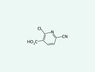 N#Cc1ccc(C(=O)O)c(Cl)n1